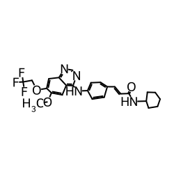 COc1cc2c(Nc3ccc(C=CC(=O)NC4CCCCC4)cc3)ncnc2cc1OCC(F)(F)F